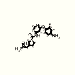 CN(C)CC1CCN(C(=O)Nc2cc(Oc3ccc(N)cc3F)ncn2)C1